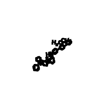 CC1(C)c2ccccc2-c2ccc(-c3ccc(Nc4cccc5c4sc4c5ccc5c4c4ccccc4n5-c4ccccc4)cc3)cc21